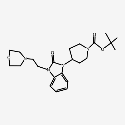 CC(C)(C)OC(=O)N1CCC(n2c(=O)n(CCN3CCOCC3)c3ccccc32)CC1